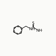 [NH]C(=S)NCc1ccccc1